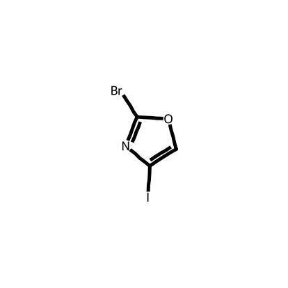 Brc1nc(I)co1